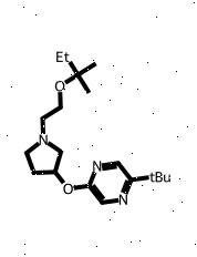 CCC(C)(C)OCCN1CCC(Oc2cnc(C(C)(C)C)cn2)C1